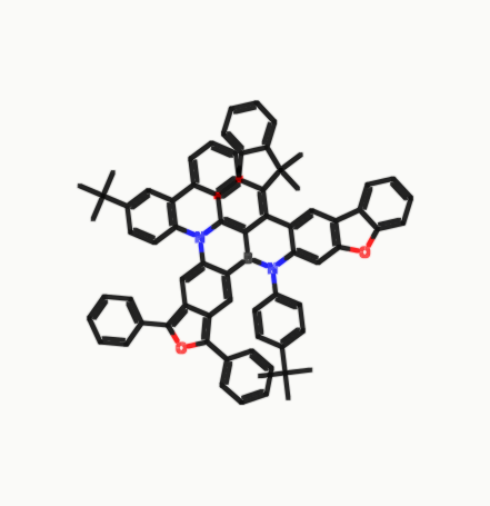 CC(C)(C)c1ccc(N2B3c4cc5c(-c6ccccc6)oc(-c6ccccc6)c5cc4N(c4ccc(C(C)(C)C)cc4-c4ccccc4)c4cc5c(c(c43)-c3cc4c(cc32)oc2ccccc24)C(C)(C)c2ccccc2-5)cc1